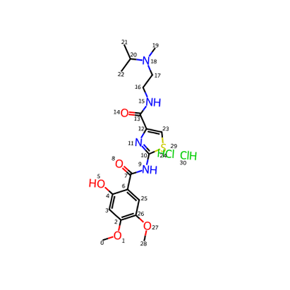 COc1cc(O)c(C(=O)Nc2nc(C(=O)NCCN(C)C(C)C)cs2)cc1OC.Cl.Cl